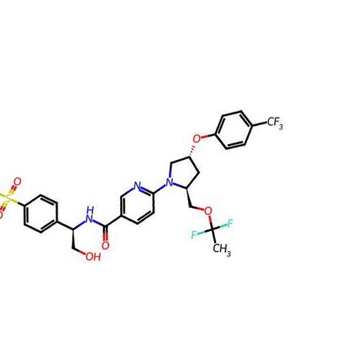 CCS(=O)(=O)c1ccc([C@H](CO)NC(=O)c2ccc(N3C[C@H](Oc4ccc(C(F)(F)F)cc4)C[C@H]3COC(C)(F)F)nc2)cc1